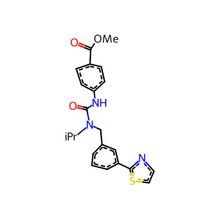 COC(=O)c1ccc(NC(=O)N(Cc2cccc(-c3nccs3)c2)C(C)C)cc1